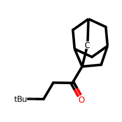 CC(C)(C)CCC(=O)C12CC3CC(CC1C3)C2